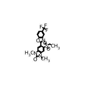 CCS(=O)(=O)c1cc2c(cc1-c1nc3cc(C(F)(F)F)ccc3o1)n(C)c(=O)n2C